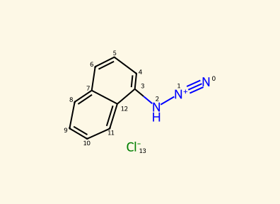 N#[N+]Nc1cccc2ccccc12.[Cl-]